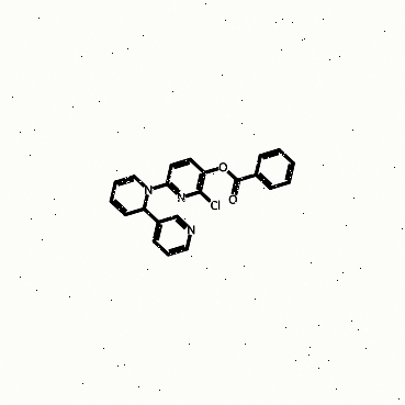 O=C(Oc1ccc(N2C=CC=CC2c2cccnc2)nc1Cl)c1ccccc1